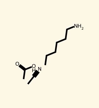 CC#N.CC(=O)O.CCCCCCN